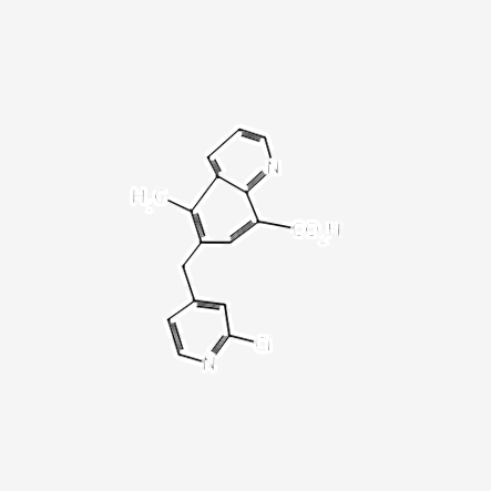 Cc1c(Cc2ccnc(Cl)c2)cc(C(=O)O)c2ncccc12